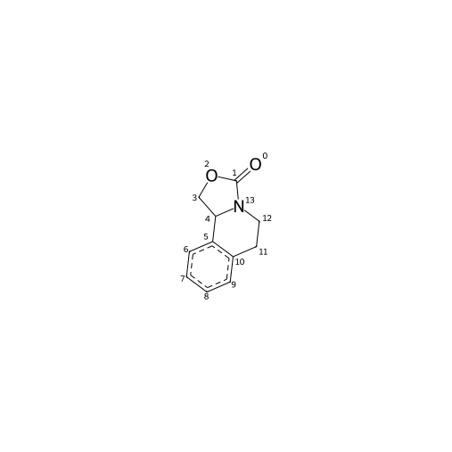 O=C1OCC2c3ccccc3CCN12